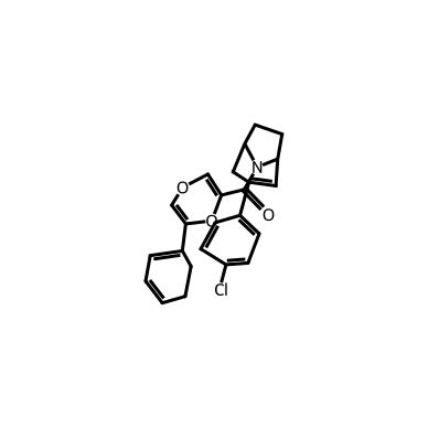 O=C(C1=COC=C(C2=CC=CCC2)O1)N1C2C=C(c3ccc(Cl)cc3)CC1CC2